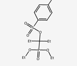 CCOP(=O)(OCC)C(CC)(CC)OS(=O)(=O)c1ccc(C)cc1